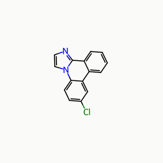 Clc1ccc2c(c1)c1ccccc1c1nccn21